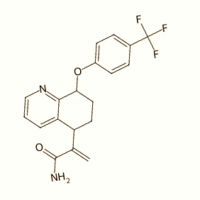 C=C(C(N)=O)C1CCC(Oc2ccc(C(F)(F)F)cc2)c2ncccc21